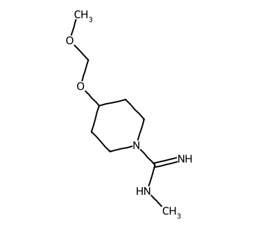 CNC(=N)N1CCC(OCOC)CC1